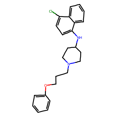 Clc1ccc(NC2CCN(CCCOc3ccccc3)CC2)c2ccccc12